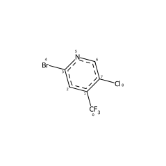 FC(F)(F)c1cc(Br)ncc1Cl